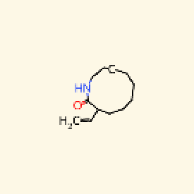 C=CC1CCCCCCCCNC1=O